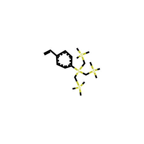 C=Cc1ccc(S(CS(C)(C)C)(CS(C)(C)C)CS(C)(C)C)cc1